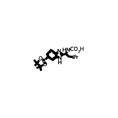 CC(C)CC(NC(=O)O)c1nc2ccc(B3OC(C)(C)C(C)(C)O3)cc2[nH]1